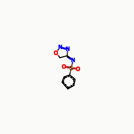 O=S(=O)(N=C1CON=N1)c1ccccc1